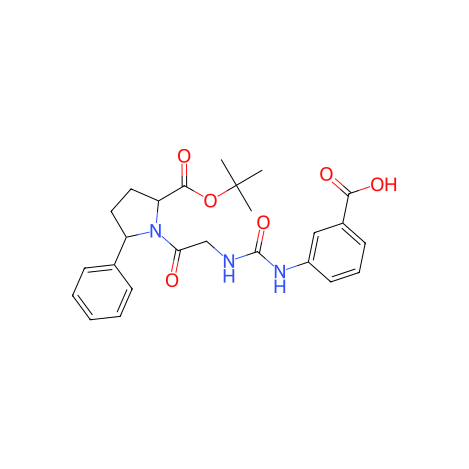 CC(C)(C)OC(=O)C1CCC(c2ccccc2)N1C(=O)CNC(=O)Nc1cccc(C(=O)O)c1